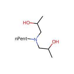 CCCCCN(CC(C)O)CC(C)O